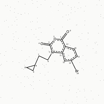 O=c1oc(=O)n(CCC2CC2)c2cc(Br)ccc12